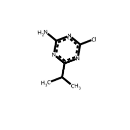 CC(C)c1nc(N)nc(Cl)n1